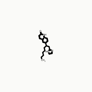 CCCCCCC(Cc1ncc[nH]1)c1ccc2[nH]c(=O)ccc2c1